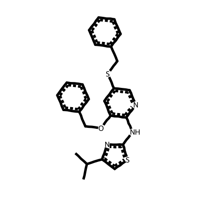 CC(C)c1csc(Nc2ncc(SCc3ccccc3)cc2OCc2ccccc2)n1